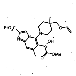 C=COCC1(C)CCN(c2c([C@H](O)C(=O)OC)c(C)cc3nc(C(=O)OCC)cn23)CC1